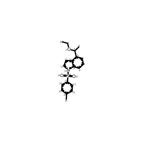 CCOC(C)c1cccc2c1ccn2S(=O)(=O)c1ccc(C)cc1